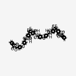 CC(c1ccc(NC(=O)c2ccc(Oc3ccc(C(=O)Nc4ccc(C(C)(c5ccc(N6C(=O)C7C8C=CC(C8)C7C6=O)c(O)c5)C(F)(F)F)cc4O)cc3)cc2)c(O)c1)(c1ccc(NC(=O)c2ccc(Oc3ccc(C(=O)N4C(=O)C5C6C=CC(C6)C5C4=O)cc3)cc2)c(O)c1)C(F)(F)F